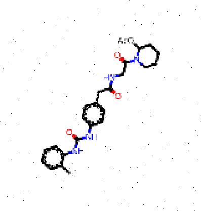 CC(=O)OC1CCCCN1C(=O)CNC(=O)Cc1ccc(NC(=O)Nc2ccccc2C)cc1